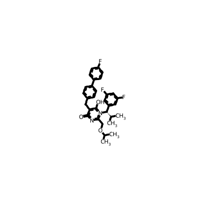 CC(C)OCc1nc(=O)c(Cc2ccc(-c3ccc(F)cc3)cc2)c(O)n1[C@H](c1cc(F)cc(F)c1)C(C)C